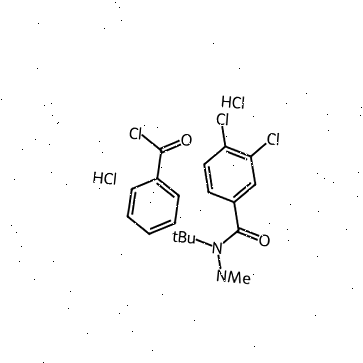 CNN(C(=O)c1ccc(Cl)c(Cl)c1)C(C)(C)C.Cl.Cl.O=C(Cl)c1ccccc1